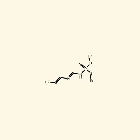 CC=CN=CNP(=S)(OC(C)C)SC(C)C